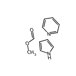 COC=O.c1cc[nH]c1.c1ccncc1